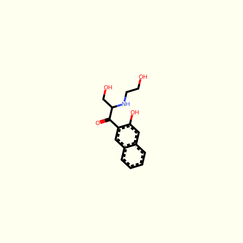 O=C(c1cc2ccccc2cc1O)C(CO)NCCO